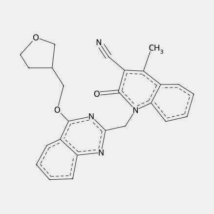 Cc1c(C#N)c(=O)n(Cc2nc(OCC3CCOC3)c3ccccc3n2)c2ccccc12